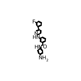 Nc1ccc(NC(=O)c2cccc(Nc3ccc(-c4cccc(F)c4)cn3)c2)cc1